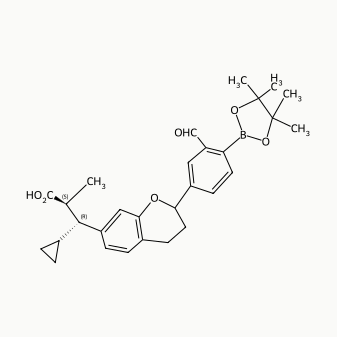 C[C@H](C(=O)O)[C@H](c1ccc2c(c1)OC(c1ccc(B3OC(C)(C)C(C)(C)O3)c(C=O)c1)CC2)C1CC1